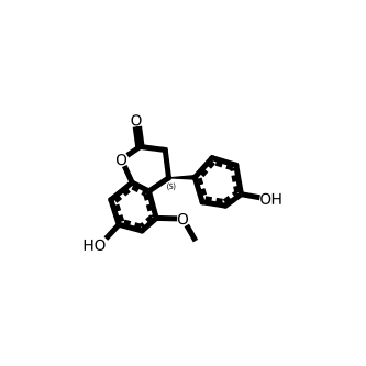 COc1cc(O)cc2c1[C@H](c1ccc(O)cc1)CC(=O)O2